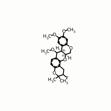 COc1cc2c(cc1OC)[C@@H]1C(OC)c3ccc4c(c3O[C@@H]1CO2)CC(F)C(C)(C)O4